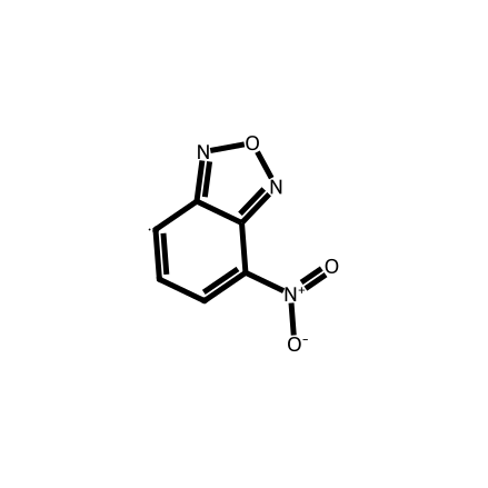 O=[N+]([O-])c1cc[c]c2nonc12